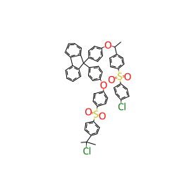 CC(Oc1ccc(C2(c3ccc(Oc4ccc(S(=O)(=O)c5ccc(C(C)(C)Cl)cc5)cc4)cc3)c3ccccc3-c3ccccc32)cc1)c1ccc(S(=O)(=O)c2ccc(Cl)cc2)cc1